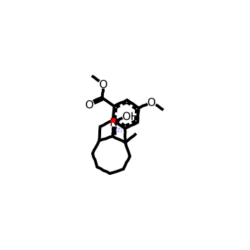 COC(=O)c1cc(OC)cc2c1CC1CCCCCC2(C)/C1=N\O